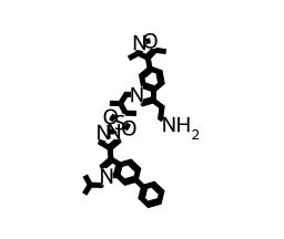 Cc1noc(C)c1-c1ccc2c(CCN)cn(CC(C)C(C)S(=O)(=O)n3cc(-c4cn(CC(C)C)c5cc(-c6ccccc6)ccc45)cn3)c2c1